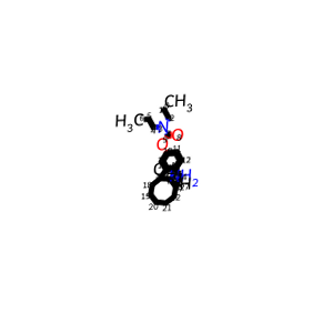 CCCN(CCC)C(=O)Oc1ccc2c(c1)[C@@]1(C)CCCCC[C@@H](C2)[C@@H]1N